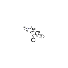 CC(/C=C/S(C)(=O)=O)NC(=O)c1cnc(N2CCCC2(C)C)nc1Oc1ccccc1